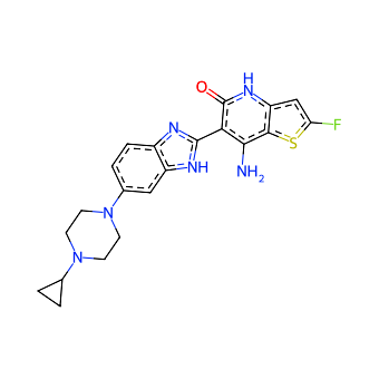 Nc1c(-c2nc3ccc(N4CCN(C5CC5)CC4)cc3[nH]2)c(=O)[nH]c2cc(F)sc12